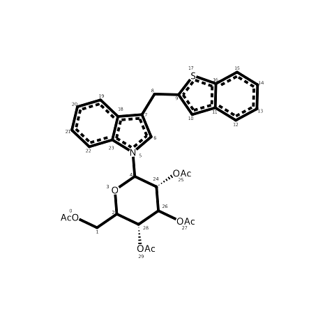 CC(=O)OCC1OC(n2cc(Cc3cc4ccccc4s3)c3ccccc32)[C@H](OC(C)=O)C(OC(C)=O)[C@@H]1OC(C)=O